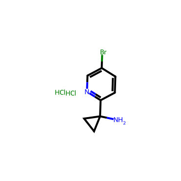 Cl.Cl.NC1(c2ccc(Br)cn2)CC1